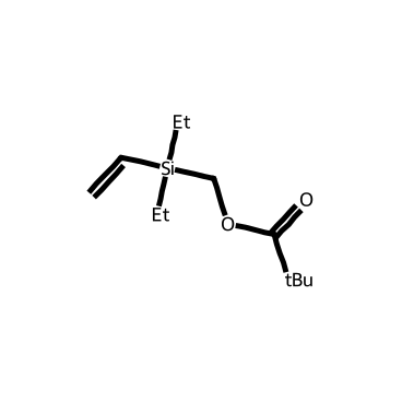 C=C[Si](CC)(CC)COC(=O)C(C)(C)C